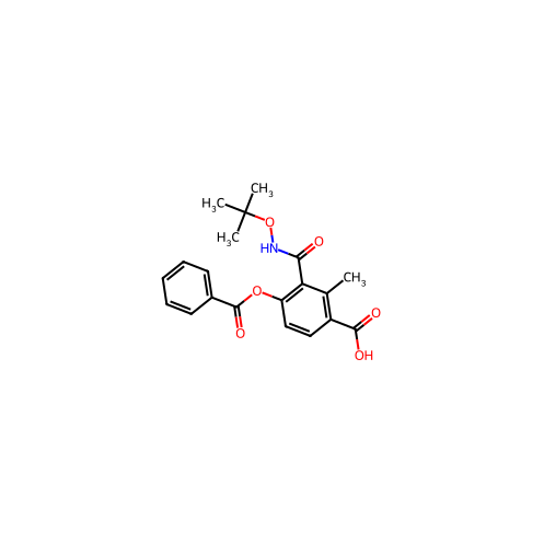 Cc1c(C(=O)O)ccc(OC(=O)c2ccccc2)c1C(=O)NOC(C)(C)C